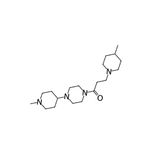 CC1CCN(CCC(=O)N2CCN(C3CCN(C)CC3)CC2)CC1